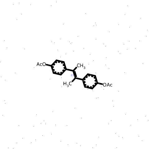 CC(=O)Oc1ccc(/C(C)=C(\C)c2ccc(OC(C)=O)cc2)cc1